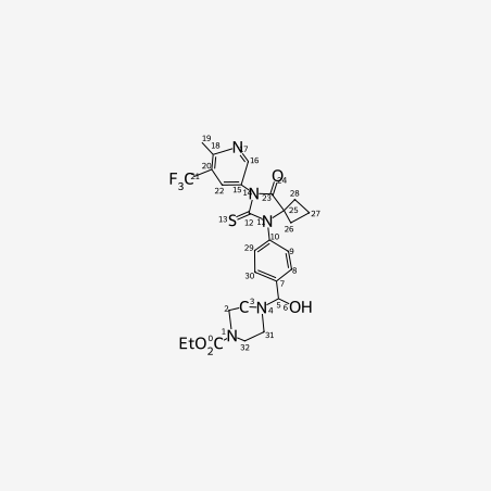 CCOC(=O)N1CCN(C(O)c2ccc(N3C(=S)N(c4cnc(C)c(C(F)(F)F)c4)C(=O)C34CCC4)cc2)CC1